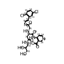 O=C(CC(NCc1ncc(-c2cc(Cl)ccc2Cl)o1)C(=O)Nc1ccncc1C(=O)O)NCC(O)CO